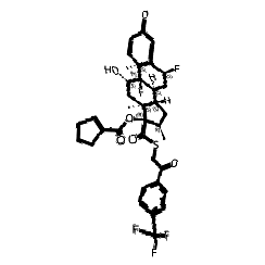 C[C@@H]1C[C@H]2[C@@H]3C[C@H](F)C4=CC(=O)C=C[C@]4(C)[C@@]3(F)[C@@H](O)C[C@]2(C)[C@@]1(OC(=O)C1CCCC1)C(=O)SCC(=O)c1ccc(C(F)(F)F)cc1